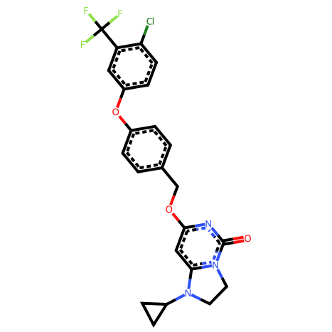 O=c1nc(OCc2ccc(Oc3ccc(Cl)c(C(F)(F)F)c3)cc2)cc2n1CCN2C1CC1